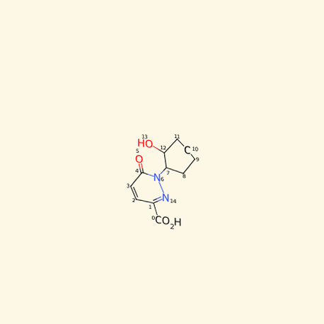 O=C(O)c1ccc(=O)n(C2CCCCC2O)n1